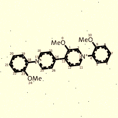 COc1c[n+](-c2ccccc2OC)ccc1-c1cc[n+](-c2ccccc2OC)cc1